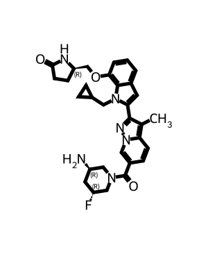 Cc1c(-c2cc3cccc(OC[C@H]4CCC(=O)N4)c3n2CC2CC2)nn2cc(C(=O)N3C[C@H](N)C[C@@H](F)C3)ccc12